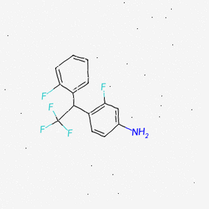 Nc1ccc(C(c2ccccc2F)C(F)(F)F)c(F)c1